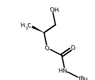 C[C@@H](CO)OC(=O)NC(C)(C)C